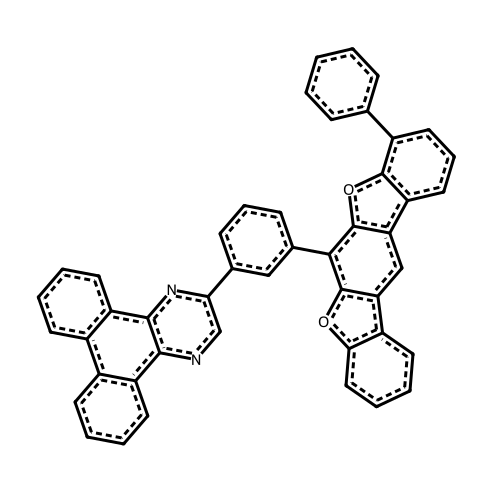 c1ccc(-c2cccc3c2oc2c(-c4cccc(-c5cnc6c7ccccc7c7ccccc7c6n5)c4)c4oc5ccccc5c4cc23)cc1